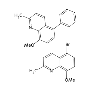 COc1ccc(-c2ccccc2)c2ccc(C)nc12.COc1ccc(Br)c2ccc(C)nc12